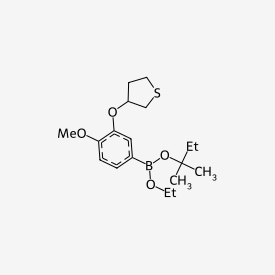 CCOB(OC(C)(C)CC)c1ccc(OC)c(OC2CCSC2)c1